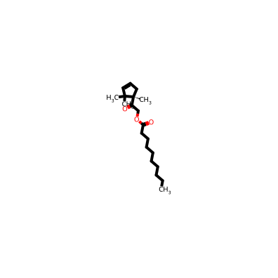 CCCCCCCCCC(=O)OCC(=O)[C@]1(C)CC=CC1(C)C